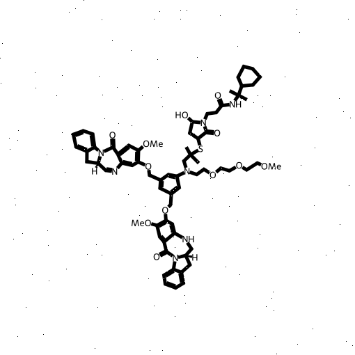 COCCOCCOCCN(CC(C)(C)SC1CC(O)N(CCC(=O)NC(C)(C)C2CCCCC2)C1=O)c1cc(COc2cc3c(cc2OC)C(=O)N2c4ccccc4C[C@H]2C=N3)cc(COc2cc3c(cc2OC)C(=O)N2c4ccccc4C[C@H]2CN3)c1